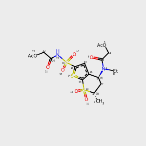 CCN(C(=O)COC(C)=O)[C@H]1C[C@H](C)S(=O)(=O)c2sc(S(=O)(=O)NC(=O)COC(C)=O)cc21